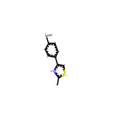 CC(=O)Nc1ccc(-c2csc(C)n2)cc1